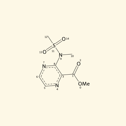 COC(=O)c1nccnc1N(C)S(C)(=O)=O